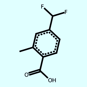 Cc1cc(C(F)F)ccc1C(=O)O